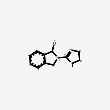 ClC1c2ccccc2CN1C1=NCCN1